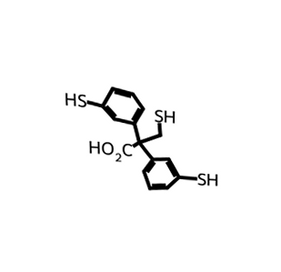 O=C(O)C(CS)(c1cccc(S)c1)c1cccc(S)c1